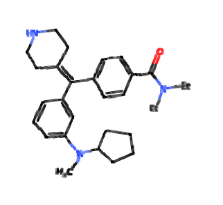 CCN(CC)C(=O)c1ccc(C(=C2CCNCC2)c2cccc(N(C)C3CCCC3)c2)cc1